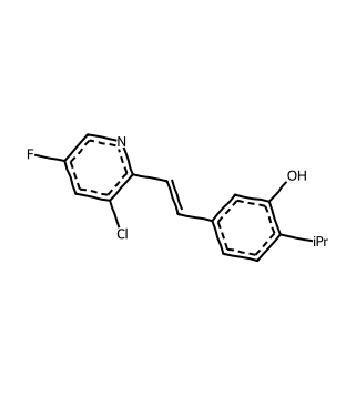 CC(C)c1ccc(/C=C/c2ncc(F)cc2Cl)cc1O